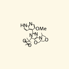 COc1cnc2[nH]ccc2c1-c1nc2c(c(C(C)(C)S(C)(=O)=O)n1)OCC1COCC(C)N21